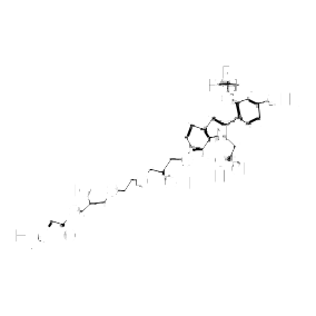 C=CC(=O)OCC(O)COCCOCC(O)COc1ccc2cc(-c3ccc(C)cc3OC(F)(F)F)n(CC(C)C)c2c1